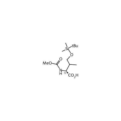 COC(=O)N[C@H](C(=O)O)C(C)CO[Si](C)(C)C(C)(C)C